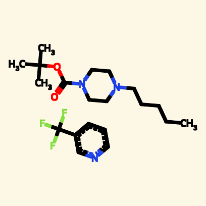 CCCCCN1CCN(C(=O)OC(C)(C)C)CC1.FC(F)(F)c1cccnc1